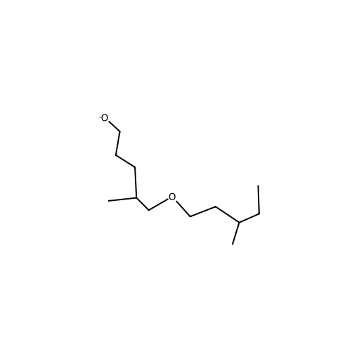 CCC(C)CCOCC(C)CCC[O]